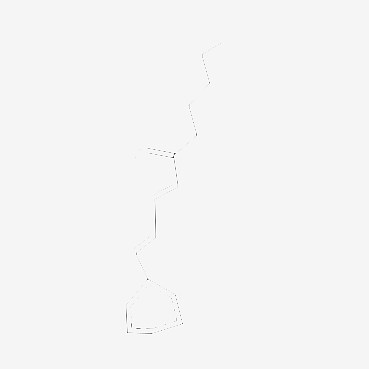 C=C(C=CC=Cc1ccccc1)CCCCC